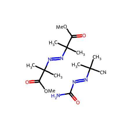 CC(C)(C#N)N=NC(N)=O.COC(=O)C(C)(C)N=NC(C)(C)C(=O)OC